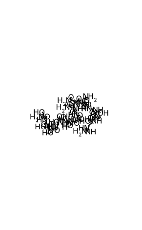 C[C@@H](O)[C@H](NC(=O)CNC(=O)[C@H](CO)NC(=O)[C@H](CO)NC(=O)CNC(=O)[C@@H](N)CO)C(=O)NCC(=O)N[C@@H](CO)C(=O)N[C@H](C(=O)NCC(=O)N[C@@H](CC(N)=O)C(=O)N[C@@H](CCC(N)=O)C(=O)N[C@@H](CC(N)=O)C(=O)N1CCC[C@H]1C(=O)NCC(=O)N[C@@H](CO)C(=O)N1CCC[C@H]1C(=O)N[C@@H](CCCNC(=N)N)C(=O)O)[C@@H](C)O